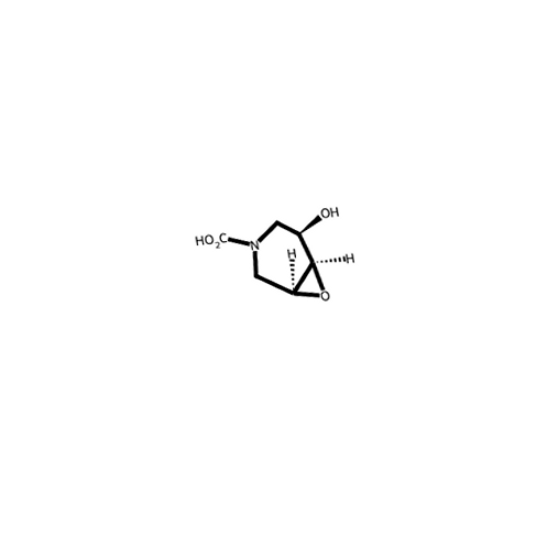 O=C(O)N1C[C@@H](O)[C@H]2O[C@H]2C1